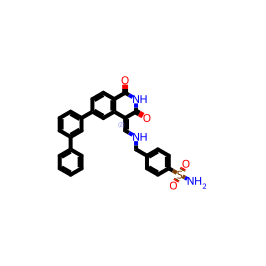 NS(=O)(=O)c1ccc(CN/C=C2\C(=O)NC(=O)c3ccc(-c4cccc(-c5ccccc5)c4)cc32)cc1